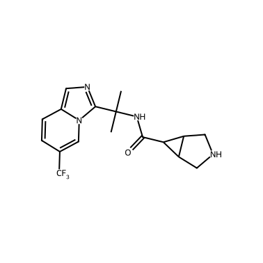 CC(C)(NC(=O)C1C2CNCC21)c1ncc2ccc(C(F)(F)F)cn12